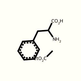 CCOC(C)=O.NC(Cc1ccccc1)C(=O)O